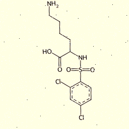 NCCCCC(NS(=O)(=O)c1ccc(Cl)cc1Cl)C(=O)O